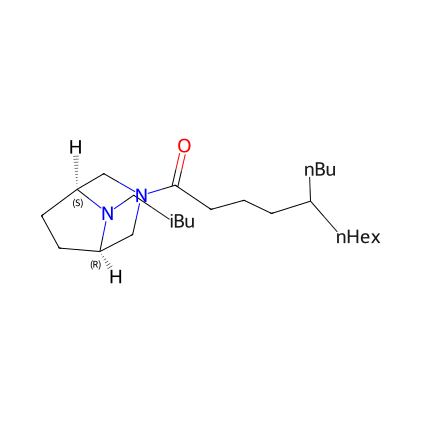 CCCCCCC(CCCC)CCCC(=O)N1C[C@H]2CC[C@@H](C1)N2CC(C)CC